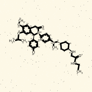 CCNC(=O)CN[C@H]1CC[C@H](CN(C)c2ccc(N3C(=O)Cc4cc(OC)c(OC(C)C)cc4[C@@H]3c3ccc(Cl)cc3)nc2)CC1